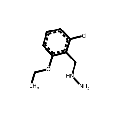 CCOc1cccc(Cl)c1CNN